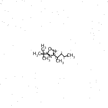 CCCC(C)c1noc(C(C)(C)C)n1